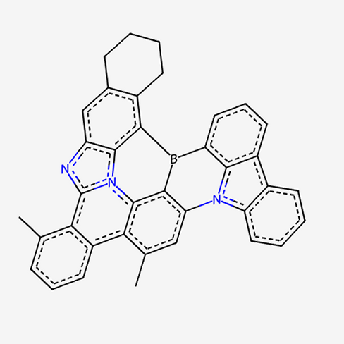 Cc1cccc2c1c1nc3cc4c(c5c3n1c1c3c(cc(C)c21)-n1c2ccccc2c2cccc(c21)B53)CCCC4